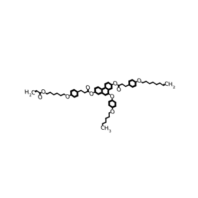 C=CCCCCCCOc1ccc(CCC(=O)Oc2ccc3c(c2)c(Oc2ccc(OCCCCCC)cc2)cc2cc(OC(=O)CCc4ccc(OCCCCCCOC(=O)C=C)cc4)ccc23)cc1